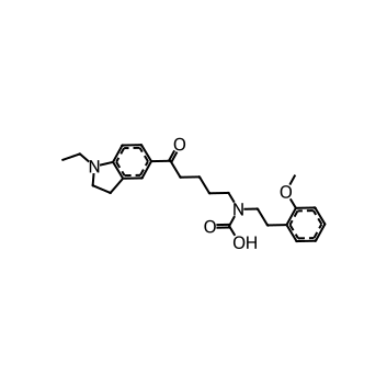 CCN1CCc2cc(C(=O)CCCCN(CCc3ccccc3OC)C(=O)O)ccc21